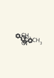 Cc1ccc(-c2noc3cc(-c4ccccc4)n(C)c(=O)c23)cc1